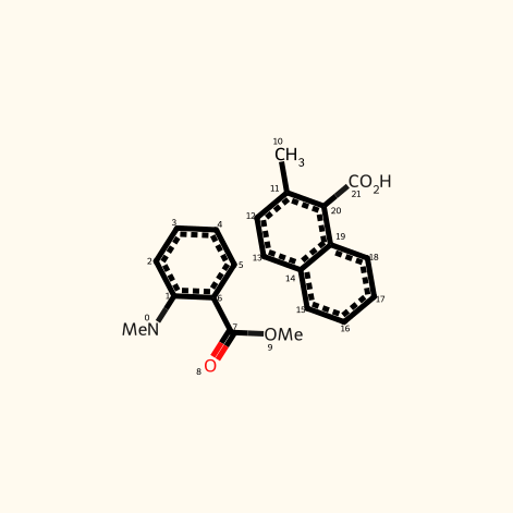 CNc1ccccc1C(=O)OC.Cc1ccc2ccccc2c1C(=O)O